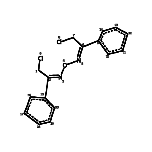 ClCC(=NON=C(CCl)c1ccccc1)c1ccccc1